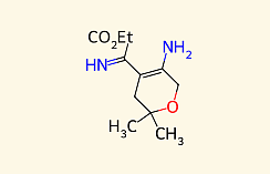 CCOC(=O)C(=N)C1=C(N)COC(C)(C)C1